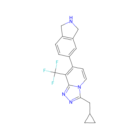 FC(F)(F)c1c(-c2ccc3c(c2)CNC3)ccn2c(CC3CC3)nnc12